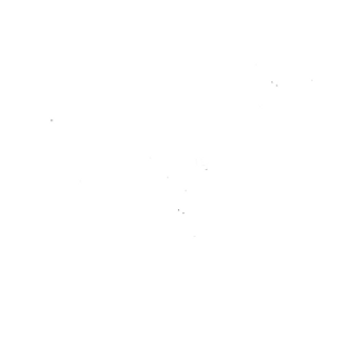 CN(C)c1ccc(C=CC23OCCN2c2ccc(SOOO)cc2C3(C)C)cc1